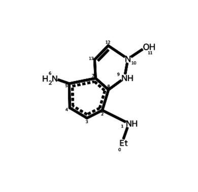 CCNc1ccc(N)c2c1NN(O)C=C2